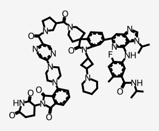 Cc1cc(F)c(Nc2nc(-c3ccc4c(c3)N(C3CC(N5CCCCC5)C3)C(=O)C43CCN(C(=O)C4CCN(C(=O)c5cnc(N6CCN(c7cccc8c7C(=O)N(C7CCC(=O)NC7=O)C8=O)CC6)cn5)C4)CC3)cc3ncn(C(C)C)c23)cc1C(=O)NC(C)C